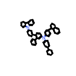 c1ccc(-c2ccc(N(c3ccc(-c4cccc5ccccc45)cc3)c3ccc(-c4cccc(-n5c6ccccc6c6ccccc65)c4)c(-c4ccccc4)c3)cc2)cc1